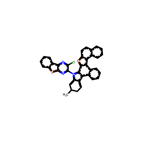 CC1C=c2c(c3c4ccccc4c4c(sc5ccc6ccccc6c54)c3n2-c2nc3sc4ccccc4c3nc2Cl)=CC1